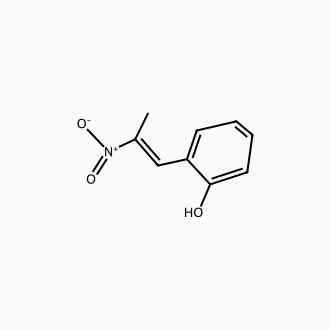 C/C(=C\c1ccccc1O)[N+](=O)[O-]